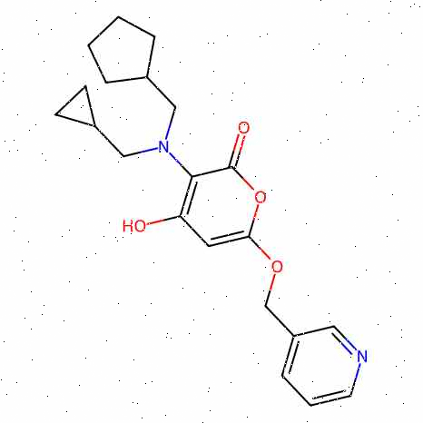 O=c1oc(OCc2cccnc2)cc(O)c1N(CC1CCCC1)CC1CC1